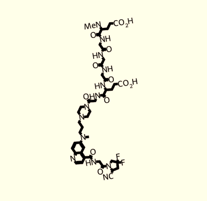 CNC(CCC(=O)O)C(=O)NCC(=O)NCC(=O)NCC(=O)NC(CCC(=O)O)C(=O)NCC(=O)N1CCN(CCCN(C)c2ccc3nccc(C(=O)NCC(=O)N4CC(F)(F)CC4C#N)c3c2)CC1